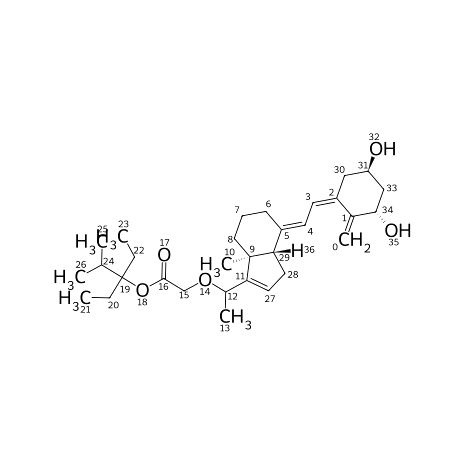 C=C1/C(=C\C=C2/CCC[C@]3(C)C(C(C)OCC(=O)OC(CC)(CC)C(C)C)=CC[C@@H]23)C[C@@H](O)C[C@@H]1O